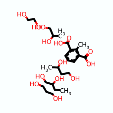 CC(O)CCO.CC(O)CO.CCC(O)CO.Cc1c(C(=O)O)cccc1C(=O)O.OCCCO.OCCO